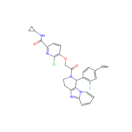 COc1ccc(C2c3c(nc4ccccn34)CCN2C(=O)COc2ccc(C(=O)NC3CC3)nc2Cl)c(F)c1